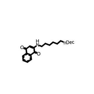 CCCCCCCCCCCCCCCCNC1=CC(=O)c2ccccc2C1=O